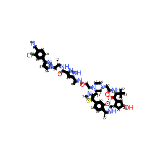 C/C(=N\OCCN1CCN(CC(=O)N[C@H](C(=O)C2C[C@H](O)C[C@H]2C(=O)N[C@@H](C)c2ccc(-c3scnc3C)cc2)C(C)(C)C)CC1)c1cc(C(=O)N[C@@H](C)Cn2ccc(-c3ccc(C#N)c(Cl)c3)n2)n[nH]1